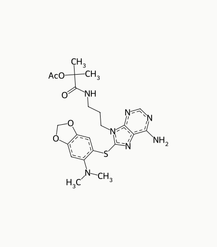 CC(=O)OC(C)(C)C(=O)NCCCn1c(Sc2cc3c(cc2N(C)C)OCO3)nc2c(N)ncnc21